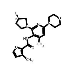 Cc1ccoc1C(=O)Nc1c(C)cc(N2CCOCC2)nc1N1CC[C@@H](F)C1